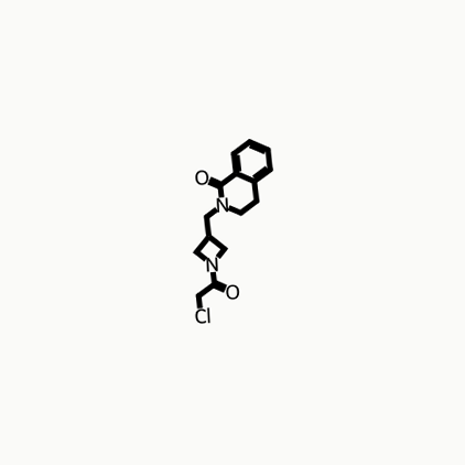 O=C(CCl)N1CC(CN2CCc3ccccc3C2=O)C1